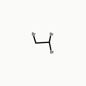 BrCC(Br)Br